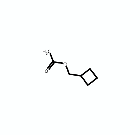 CC(=O)O[CH]C1CCC1